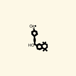 C[S+]([O-])c1ccc(C#CC(O)c2ccc3c(c2)C(C)(C)CCC3(C)C)cc1